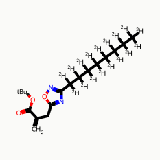 [2H]C([2H])([2H])C([2H])([2H])C([2H])([2H])C([2H])([2H])C([2H])([2H])C([2H])([2H])C([2H])([2H])C([2H])([2H])c1noc(CC(=C)C(=O)OC(C)(C)C)n1